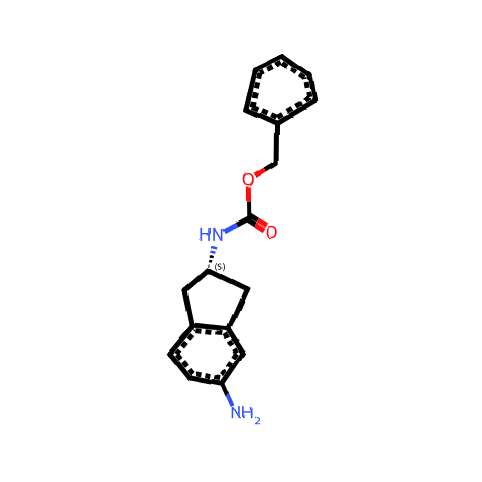 Nc1ccc2c(c1)C[C@@H](NC(=O)OCc1ccccc1)C2